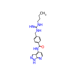 CCCCNC(=N)NCc1ccc(C(=O)Nc2ccnc3[nH]ncc23)cc1